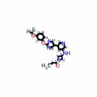 C=CC(=O)N1CC(Nc2cncc(-c3cnc(Oc4cccc(OC(F)F)c4)nc3)c2)C1